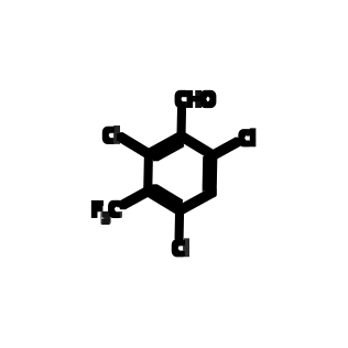 O=Cc1c(Cl)cc(Cl)c(C(F)(F)F)c1Cl